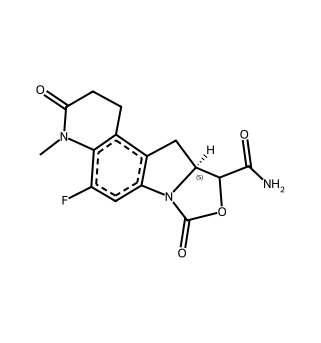 CN1C(=O)CCc2c3c(cc(F)c21)N1C(=O)OC(C(N)=O)[C@@H]1C3